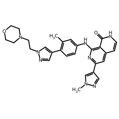 Cc1cc(Nc2nc(-c3cnn(C)c3)cc3cc[nH]c(=O)c23)ccc1-c1cnn(CCN2CCOCC2)c1